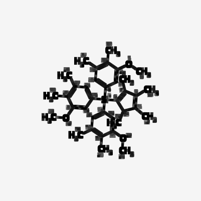 COc1cc([Si](C2=C(C)C(C)=C(C)C2C)(c2cc(C)c(C)c(OC)c2)c2cc(C)c(C)c(OC)c2)cc(C)c1C